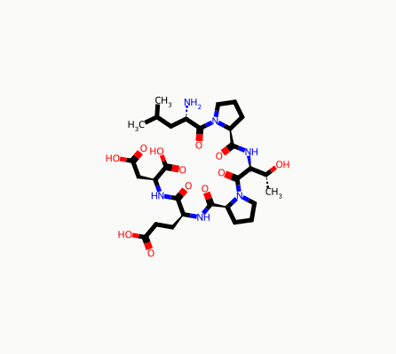 CC(C)C[C@H](N)C(=O)N1CCC[C@H]1C(=O)N[C@H](C(=O)N1CCC[C@H]1C(=O)N[C@@H](CCC(=O)O)C(=O)N[C@@H](CC(=O)O)C(=O)O)[C@@H](C)O